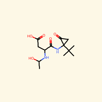 CC(O)NC(CC(=O)O)C(=O)NC1(C(C)(C)C)CC1=O